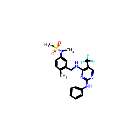 Cc1ccc(N(C)S(C)(=O)=O)cc1CNc1nc(Nc2ccccc2)ncc1C(F)(F)F